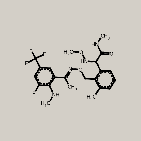 CNC(=O)C(NOC)c1cccc(C)c1CO/N=C(\C)c1cc(C(F)(F)F)cc(F)c1NC